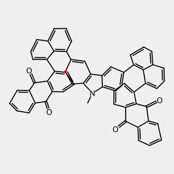 Cn1c2ccc(-c3cccc4cccc(-c5cccc6c5C(=O)c5ccccc5C6=O)c34)cc2c2cc(-c3cccc4cccc(-c5cccc6c5C(=O)c5ccccc5C6=O)c34)ccc21